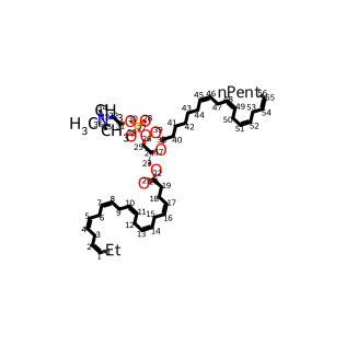 CC/C=C\C/C=C\C/C=C\C/C=C\C/C=C\C/C=C\CCC(=O)OC[C@H](COP(=O)([O-])OCC[N+](C)(C)C)OC(=O)CCCCC/C=C\C/C=C\C/C=C\C/C=C\CCCCC